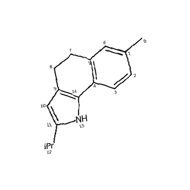 Cc1ccc2c(c1)CCc1cc(C(C)C)[nH]c1-2